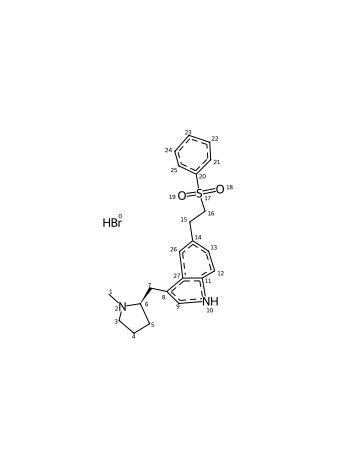 Br.CN1CCC[C@@H]1Cc1c[nH]c2ccc(CCS(=O)(=O)c3ccccc3)cc12